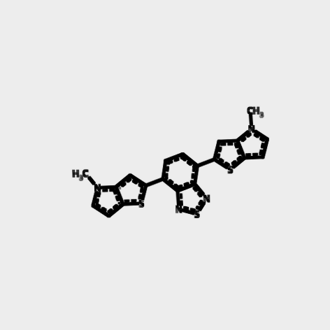 Cn1ccc2sc(-c3ccc(-c4cc5c(ccn5C)s4)c4nsnc34)cc21